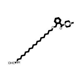 CN1CCN(C(=O)c2ccccc2COCCCCCCCCCCCCCCCCCCNC=O)CC1